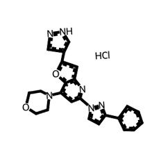 Cl.c1ccc(-c2ccn(-c3cc(N4CCOCC4)c4oc(-c5cn[nH]c5)cc4n3)n2)cc1